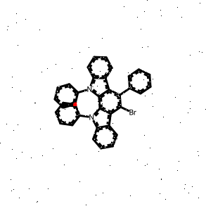 Brc1c(-c2ccccc2)c2c3ccccc3n(-c3ccccc3)c2c2c1c1ccccc1n2-c1ccccc1